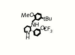 COc1ccc(C(C)(C)C)cc1CN[C@H]1CCCN[C@H]1c1cccc(OC(F)(F)F)c1